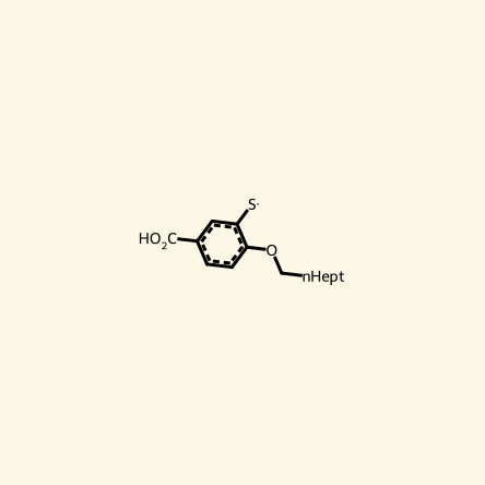 CCCCCCCCOc1ccc(C(=O)O)cc1[S]